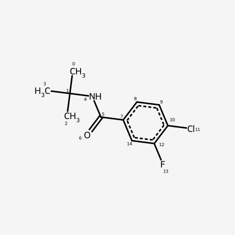 CC(C)(C)NC(=O)c1ccc(Cl)c(F)c1